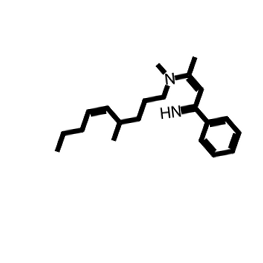 CCC/C=C\C(C)CCCN(C)/C(C)=C\C(=N)c1ccccc1